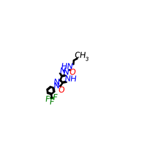 CCCCNC(=O)n1ncc2c3nn(-c4cccc(C(F)(F)F)c4)c(=O)c-3c[nH]c21